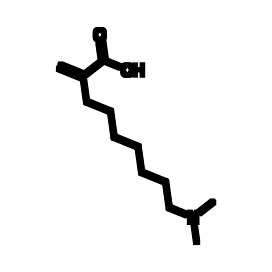 C=C(CCCCCCCN(C)C)C(=O)O